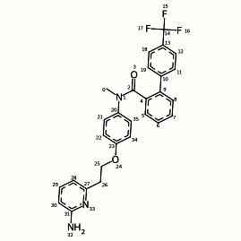 CN(C(=O)c1ccccc1-c1ccc(C(F)(F)F)cc1)c1ccc(OCCc2cccc(N)n2)cc1